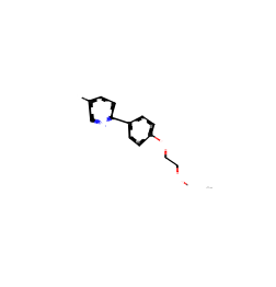 CCCCCCCCc1ccc(-c2ccc(OCCOCCCCCCC)cc2)nc1